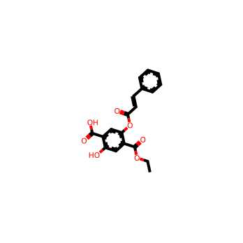 CCOC(=O)c1cc(O)c(C(=O)O)cc1OC(=O)/C=C/c1ccccc1